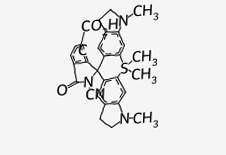 CN1CCc2cc3c(cc21)S(C)(C)c1cc2c(cc1C31c3cc(C(=O)O)ccc3C(=O)N1C#N)CCN2C